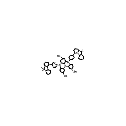 CC(C)(C)c1ccc2c(c1)B1c3cc(C(C)(C)C)ccc3N(c3ccc(-c4cccc5c4-c4ccccc4C5(C)C)cc3)c3cc(C(C)(C)C)cc(c31)N2c1ccc(-c2cccc3c2-c2ccccc2C3(C)C)cc1